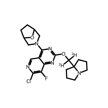 [2H]C([2H])(Oc1nc(N2CC3CCC(C2)O3)c2cnc(Cl)c(F)c2n1)C12CCCN1CCC2